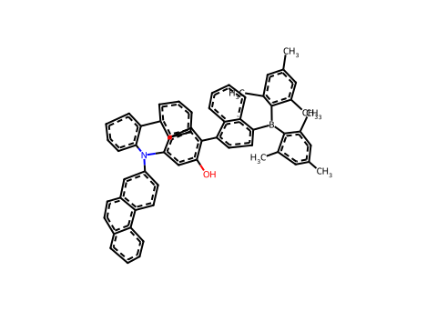 Cc1cc(C)c(B(c2c(C)cc(C)cc2C)c2ccc(-c3ccc(N(c4ccc5c(ccc6ccccc65)c4)c4ccccc4-c4ccccc4)cc3O)c3ccccc23)c(C)c1